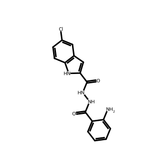 Nc1ccccc1C(=O)NNC(=O)c1cc2cc(Cl)ccc2[nH]1